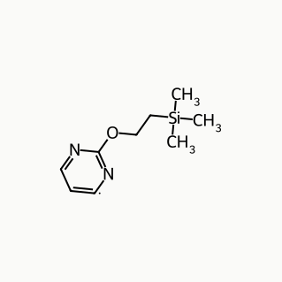 C[Si](C)(C)CCOc1n[c]ccn1